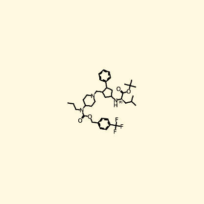 CCCN(C(=O)OCc1ccc(C(F)(F)F)cc1)C1CCN(CC2CC(N[C@H](CC(C)C)C(=O)OC(C)(C)C)CC2c2ccccc2)CC1